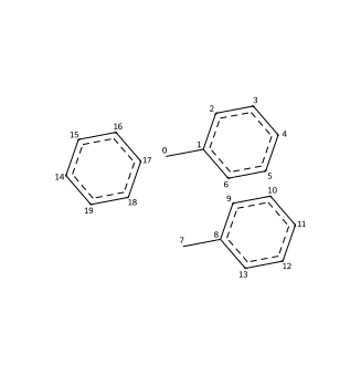 Cc1ccccc1.Cc1ccccc1.c1ccccc1